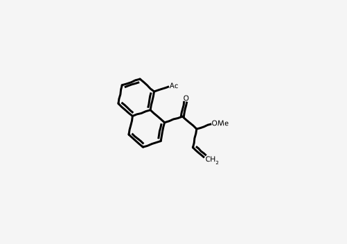 C=CC(OC)C(=O)c1cccc2cccc(C(C)=O)c12